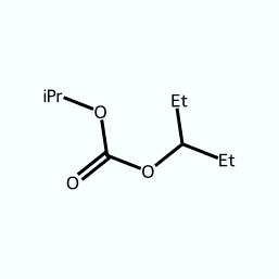 CCC(CC)OC(=O)OC(C)C